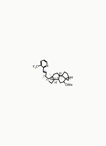 COC1C[C@H]2[C@@H]3CC[C@H]([C@H](C)/C=C/c4ncccc4C(F)(F)F)[C@@]3(C)CC[C@@H]2[C@@]2(C)CC[C@@H]3CC132